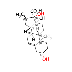 C[C@@H]1C[C@H]2[C@@H]3CC=C4C[C@@H](O)CC[C@]4(C)[C@H]3CC[C@]2(C)[C@@]1(O)C(=O)O